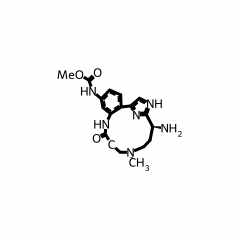 COC(=O)Nc1ccc2c(c1)NC(=O)CCN(C)CC[C@H](N)c1nc-2c[nH]1